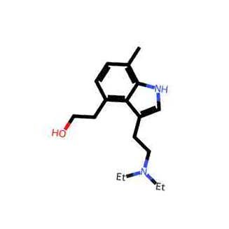 CCN(CC)CCc1c[nH]c2c(C)ccc(CCO)c12